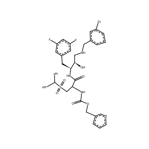 CCCC(CCC)S(=O)(=O)CC(NC(=O)OCc1cccnc1)C(=O)N[C@@H](Cc1cc(F)cc(F)c1)[C@H](O)CNCc1cccc(CC)c1